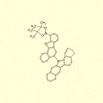 CC1(C)OB(c2cccc3c2oc2c4ccccc4c(-n4c5cc6ccccc6cc5c5ccc6c(c54)C=CCC6)cc32)OC1(C)C